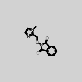 Cn1ccnc1CON1C(=O)c2ccccc2C1=O